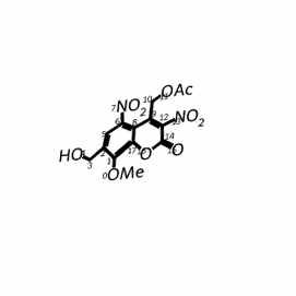 COc1c(CO)cc([N+](=O)[O-])c2c(COC(C)=O)c([N+](=O)[O-])c(=O)oc12